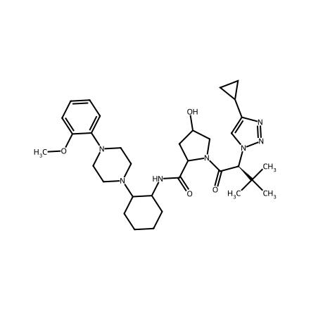 COc1ccccc1N1CCN(C2CCCCC2NC(=O)C2CC(O)CN2C(=O)[C@@H](n2cc(C3CC3)nn2)C(C)(C)C)CC1